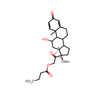 CO[C@]1(C(=O)COC(=O)CCC(=O)O)CCC2C3CCC4=CC(=O)C=CC4(C)C3C(O)C[C@@]21C